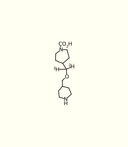 [2H]C([2H])(OCC1CCNCC1)C1CCN(C(=O)O)CC1